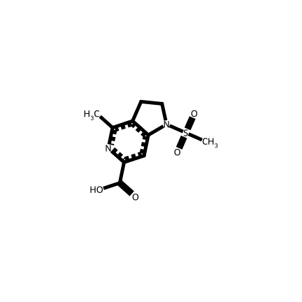 Cc1nc(C(=O)O)cc2c1CCN2S(C)(=O)=O